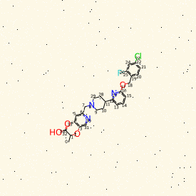 CC(Oc1ccc(CN2CCC(c3cccc(OCc4ccc(Cl)cc4F)n3)CC2)nc1)C(=O)O